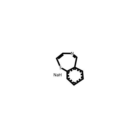 C1=CSc2ccccc2C=N1.[NaH]